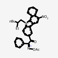 CCCCC(CC)Cn1c2ccc(C(=O)/C(=N\OC(C)=O)c3ccccc3)cc2c2cc([N+](=O)[O-])c3ccccc3c21